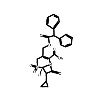 O=C(O)C1=C(COC(=O)C(c2ccccc2)c2ccccc2)CS(=O)(=O)[C@H]2C(C3CC3)C(=O)N12